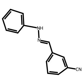 N#Cc1cccc(/C=N/Nc2ccccc2)c1